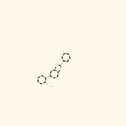 NS(=O)(=O)c1ccccc1-c1ccc2[nH]c(-c3cccc(C(F)(F)F)c3)nc2c1